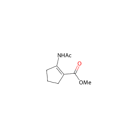 COC(=O)C1=C(NC(C)=O)CCC1